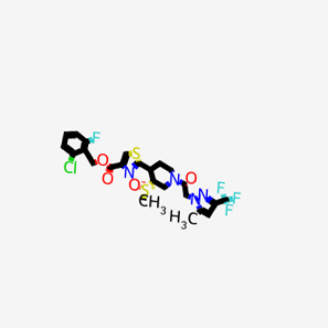 Cc1cc(C(F)(F)F)nn1CC(=O)N1CCC(c2nc(C(=O)OCc3c(F)cccc3Cl)cs2)C([S+](C)[O-])C1